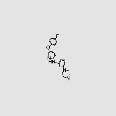 CN1CCN(c2cccc(Nc3ccc(Oc4ccc(F)cc4)cn3)c2)CC1